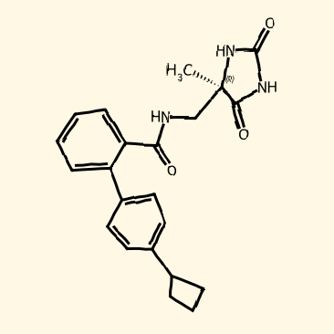 C[C@]1(CNC(=O)c2ccccc2-c2ccc(C3CCC3)cc2)NC(=O)NC1=O